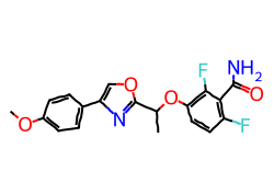 COc1ccc(-c2coc(C(C)Oc3ccc(F)c(C(N)=O)c3F)n2)cc1